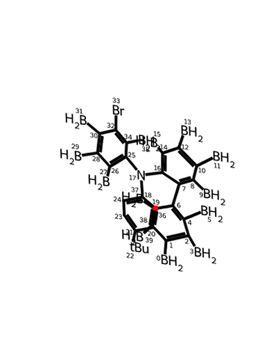 Bc1c(B)c(B)c(-c2c(B)c(B)c(B)c(B)c2N(c2ccc(C(C)(C)C)cc2)c2c(B)c(B)c(B)c(Br)c2B)c(B)c1B